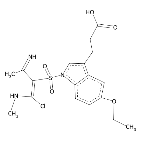 CCOc1ccc2c(c1)c(CCC(=O)O)cn2S(=O)(=O)/C(C(C)=N)=C(\Cl)NC